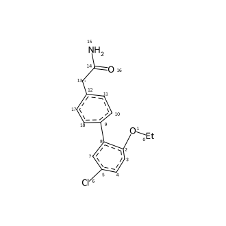 CCOc1ccc(Cl)cc1-c1ccc([CH]C(N)=O)cc1